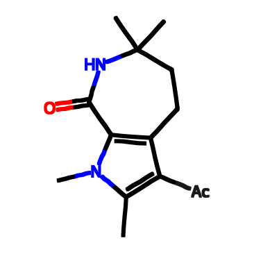 CC(=O)c1c2c(n(C)c1C)C(=O)NC(C)(C)CC2